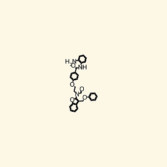 Nc1ccccc1NC(=O)c1ccc(OCCN(C=O)c2oc3ccccc3c2COc2ccccc2)cc1